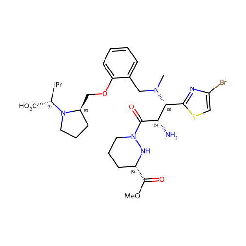 COC(=O)[C@@H]1CCCN(C(=O)[C@@H](N)[C@@H](c2nc(Br)cs2)N(C)Cc2ccccc2OC[C@H]2CCCN2[C@H](C(=O)O)C(C)C)N1